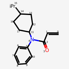 C=CC(=O)N(c1ccccc1)C1CCC(C(C)C)CC1